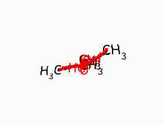 CCCCCCCCCCCCCCCCCCC(C(=O)O)C(C)(CCCCCCCCCCCCCCCCCC)SC(CC)CC(=O)O